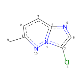 Cc1ccc2ncc(Cl)n2n1